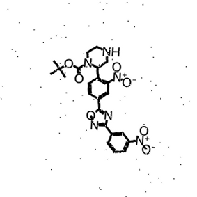 CC(C)(C)OC(=O)N1CCNCC1c1ccc(-c2nc(-c3cccc([N+](=O)[O-])c3)no2)cc1[N+](=O)[O-]